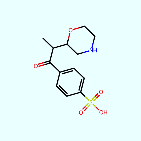 CC(C(=O)c1ccc(S(=O)(=O)O)cc1)C1CNCCO1